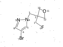 FCC1(Cn2cc(Br)cn2)COC1